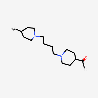 CCC(=O)C1CCN(CCCCN2CCC(C)CC2)CC1